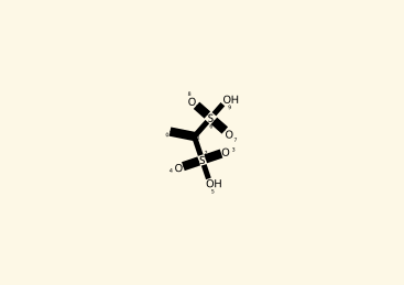 C=C(S(=O)(=O)O)S(=O)(=O)O